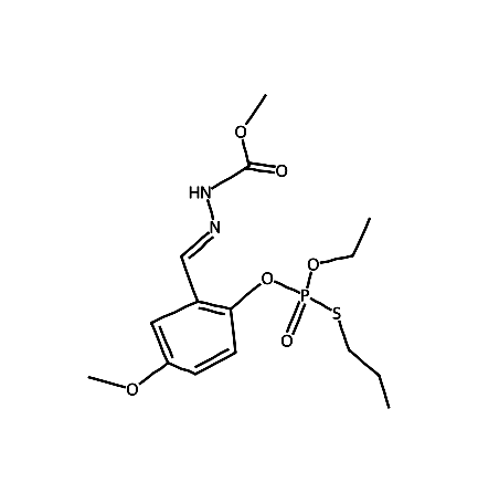 CCCSP(=O)(OCC)Oc1ccc(OC)cc1C=NNC(=O)OC